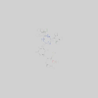 CCC(C(O)=S)c1cccc(-c2nc(C(Cl)(Cl)Cl)nc(C(Cl)(Cl)Cl)n2)c1